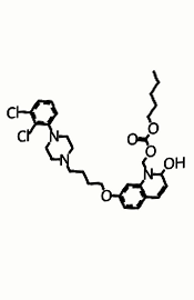 CCCCCOC(=O)OCN1c2cc(OCCCCN3CCN(c4cccc(Cl)c4Cl)CC3)ccc2C=CC1O